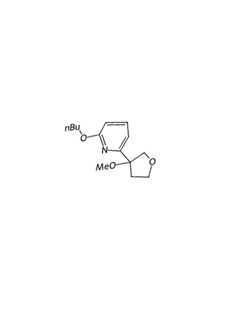 CCCCOc1cccc(C2(OC)CCOC2)n1